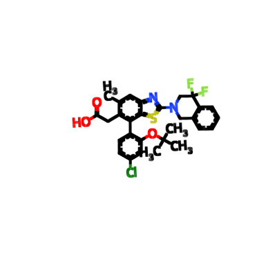 Cc1cc2nc(N3Cc4ccccc4C(F)(F)C3)sc2c(-c2ccc(Cl)cc2OC(C)(C)C)c1CC(=O)O